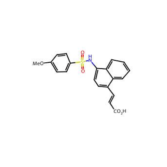 COc1ccc(S(=O)(=O)Nc2ccc(/C=C/C(=O)O)c3ccccc23)cc1